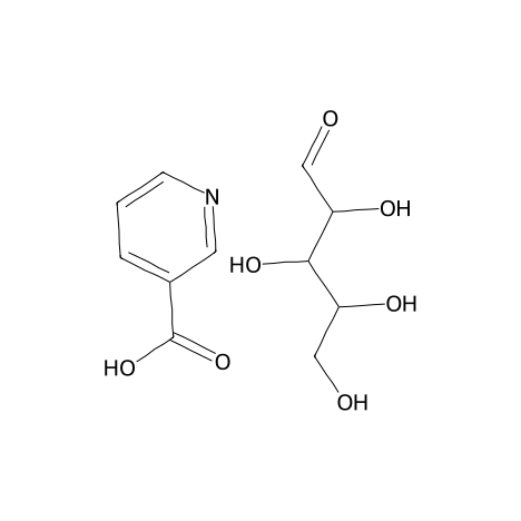 O=C(O)c1cccnc1.O=CC(O)C(O)C(O)CO